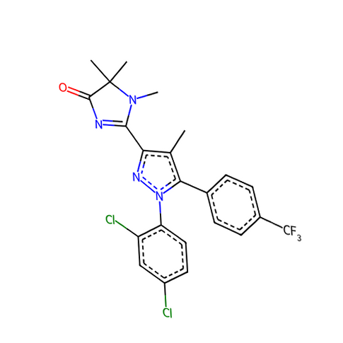 Cc1c(C2=NC(=O)C(C)(C)N2C)nn(-c2ccc(Cl)cc2Cl)c1-c1ccc(C(F)(F)F)cc1